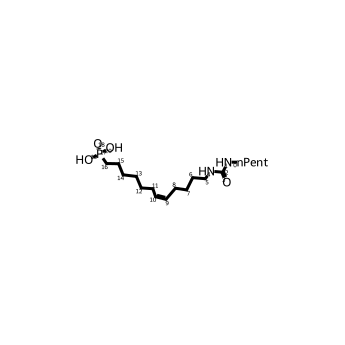 CCCCCNC(=O)NCCCC/C=C\CCCCCCP(=O)(O)O